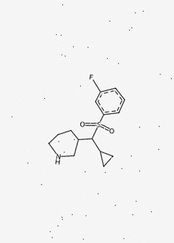 O=S(=O)(c1cccc(F)c1)C(C1CC1)C1CCCNC1